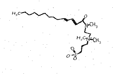 CCCCCCCCCC=CC=CC(=O)N(C)CC[N+](C)(C)CCCS(=O)(=O)[O-]